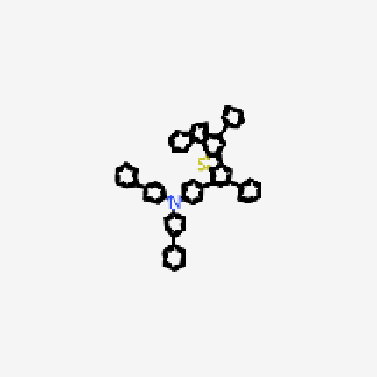 c1ccc(-c2ccc(N(c3ccc(-c4ccccc4)cc3)c3ccc(-c4cc(-c5ccccc5)cc5c4sc4c5cc(-c5ccccc5)c5ccc6ccccc6c54)cc3)cc2)cc1